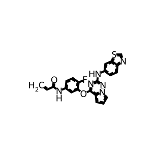 C=CC(=O)Nc1ccc(F)c(Oc2nc(Nc3ccc4ncsc4c3)nn3cccc23)c1